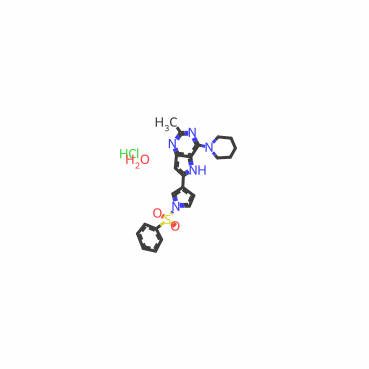 Cc1nc(N2CCCCC2)c2[nH]c(-c3ccn(S(=O)(=O)c4ccccc4)c3)cc2n1.Cl.O